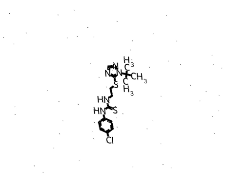 CC(C)(C)n1ncnc1SCCNC(=S)Nc1ccc(Cl)cc1